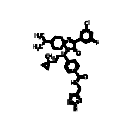 CC(C)C1CCC2(CC1)N=C(c1cc(F)cc(Cl)c1)C(=O)N2[C@H](CCC1(C)CC1)c1ccc(C(=O)NCc2nn[nH]n2)cc1